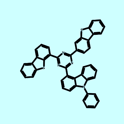 c1ccc(-n2c3ccccc3c3c(-c4nc(-c5ccc6c(c5)sc5ccccc56)nc(-c5cccc6c5sc5ccccc56)n4)cccc32)cc1